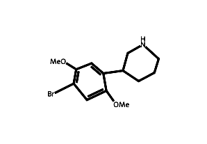 COc1cc(C2CCCNC2)c(OC)cc1Br